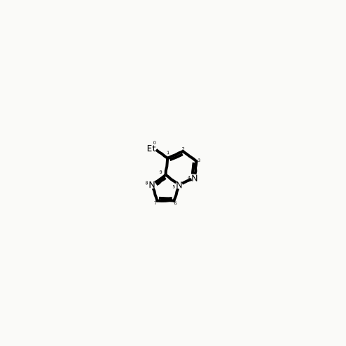 CCc1ccnn2ccnc12